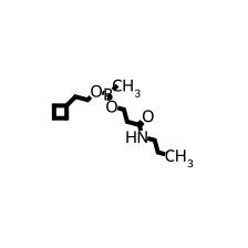 CCCNC(=O)CCOB(C)OCCC1CCC1